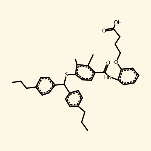 CCCc1ccc(C(Sc2ccc(C(=O)Nc3ccccc3OCCCC(=O)O)c(C)c2C)c2ccc(CCC)cc2)cc1